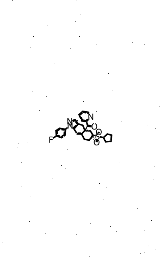 O=C(c1ccccn1)[C@]12Cc3cnn(-c4ccc(F)cc4)c3C=C1CC[C@H](S(=O)(=O)C1CCCC1)C2